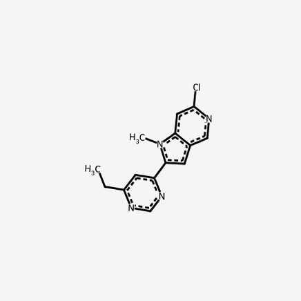 CCc1cc(-c2cc3cnc(Cl)cc3n2C)ncn1